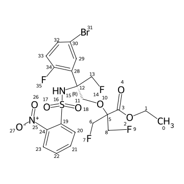 CCOC(=O)C(CF)(CF)OC[C@](CF)(NS(=O)(=O)c1ccccc1[N+](=O)[O-])c1cc(Br)ccc1F